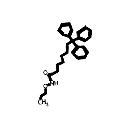 CCCONC(=O)CCCCCCC(c1ccccc1)(c1ccccc1)c1ccccc1